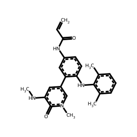 C=CC(=O)Nc1ccc(Nc2c(C)cccc2C)c(-c2cc(NC)c(=O)n(C)c2)c1